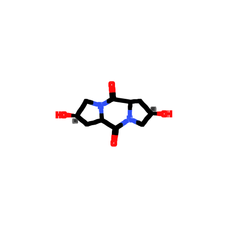 O=C1C2C[C@@H](O)CN2C(=O)C2C[C@@H](O)CN12